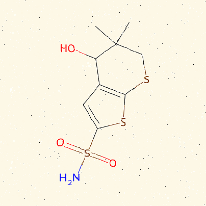 CC1(C)CSc2sc(S(N)(=O)=O)cc2C1O